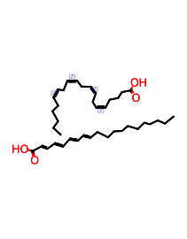 CCCCC/C=C\C/C=C\C/C=C\C/C=C\CCCC(=O)O.CCCCCCCCCCCC=CC=CC=CC=CC(=O)O